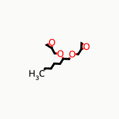 CCCCCC(COCC1CO1)OCC1CO1